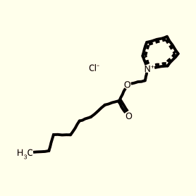 CCCCCCCC(=O)OC[n+]1ccccc1.[Cl-]